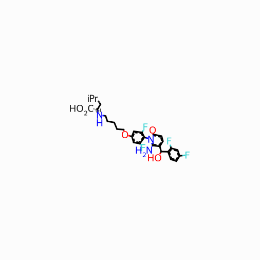 CC(C)C[C@H](NCCCCCOc1cc(F)c(-n2c(N)c(C(O)c3ccc(F)cc3F)ccc2=O)c(F)c1)C(=O)O